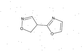 C1=NOCC1c1ncco1